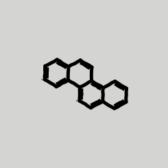 [c]1ccc2ccc3c([c]cc4ccccc43)c2c1